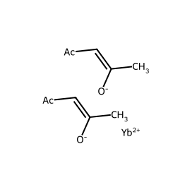 CC(=O)/C=C(/C)[O-].CC(=O)/C=C(/C)[O-].[Yb+2]